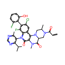 C=CC(=O)N1CC2C(=O)N(C)c3c(c4cc(Cl)c(-c5c(O)cccc5F)c(F)c4n(-c4c(C)ncnc4C(C)C)c3=O)N2CC1C